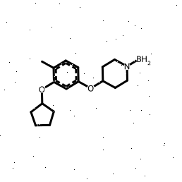 BN1CCC(Oc2ccc(C)c(OC3CCCC3)c2)CC1